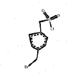 O=S(=O)(Cl)Cc1ccc(CBr)cc1